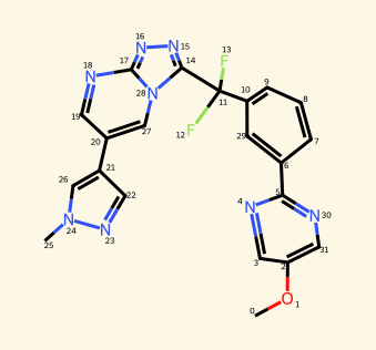 COc1cnc(-c2cccc(C(F)(F)c3nnc4ncc(-c5cnn(C)c5)cn34)c2)nc1